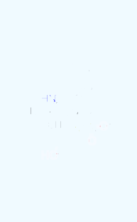 CC1(C)C=C(CS(=O)(=O)SCCO)c2ccccc2N1